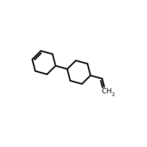 C=CC1CCC(C2CC=CCC2)CC1